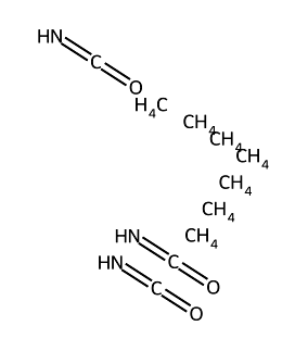 C.C.C.C.C.C.C.N=C=O.N=C=O.N=C=O